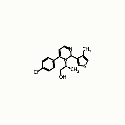 Cc1cscc1C1N=CC=C(c2ccc(Cl)cc2)N1[C@@H](C)CO